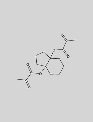 C=C(C)C(=O)OC12CCCCC1(OC(=O)C(=C)C)CCC2